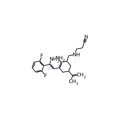 C=C(C)C1CC(/C=C(\N)c2c(F)cccc2F)=C(N)C(CNCCC#N)C1